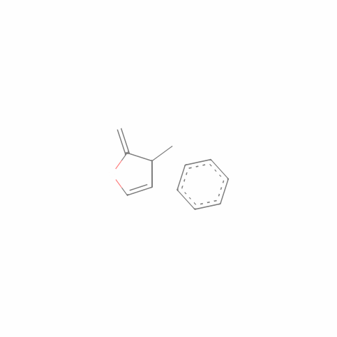 C=C1OC=CC1C.c1ccccc1